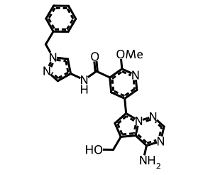 COc1ncc(-c2cc(CO)c3c(N)ncnn23)cc1C(=O)Nc1cnn(Cc2ccccc2)c1